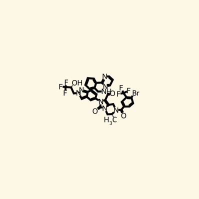 C[C@@H]1Cn2c(c(C(=O)NCc3ccccc3-c3ncccn3)n(-c3ccc4nn(C[C@@H](O)C(F)(F)F)cc4c3)c2=O)CN1C(=O)c1ccc(Br)c(C(F)(F)F)c1